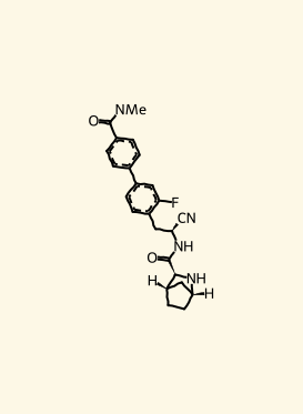 CNC(=O)c1ccc(-c2ccc(C[C@@H](C#N)NC(=O)[C@H]3N[C@@H]4CC[C@H]3C4)c(F)c2)cc1